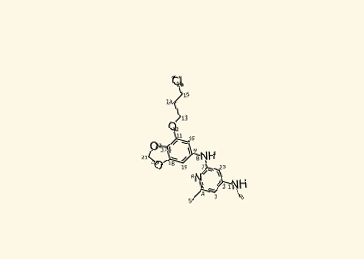 CNc1cc(C)nc(Nc2cc(OCCCCl)c3c(c2)OCO3)c1